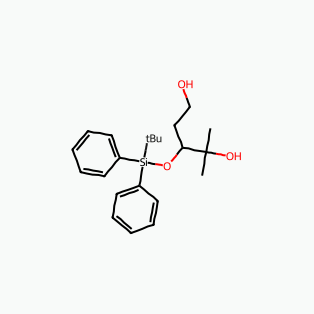 CC(C)(O)C(CCO)O[Si](c1ccccc1)(c1ccccc1)C(C)(C)C